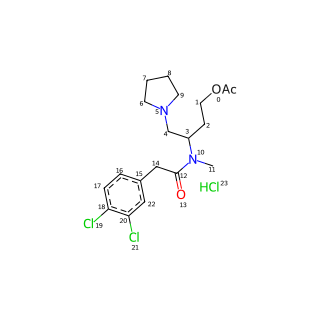 CC(=O)OCCC(CN1CCCC1)N(C)C(=O)Cc1ccc(Cl)c(Cl)c1.Cl